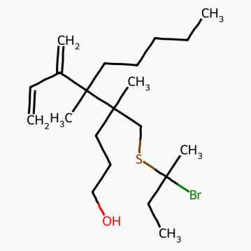 C=CC(=C)C(C)(CCCCC)C(C)(CCCO)CSC(C)(Br)CC